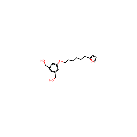 OCc1cc(CO)cc(OCCCCCCc2ccco2)c1